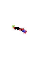 O=[N+]([O-])c1cn2c(n1)OC[C@@H](OCc1ccc(-c3ccc(OC(F)(F)F)cc3)cc1)C2